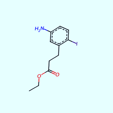 CCOC(=O)CCc1cc(N)ccc1I